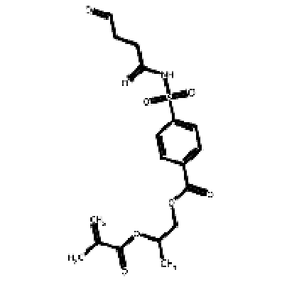 C=C(C)C(=O)OC(C)COC(=O)c1ccc(S(=O)(=O)NC(=O)CCC=O)cc1